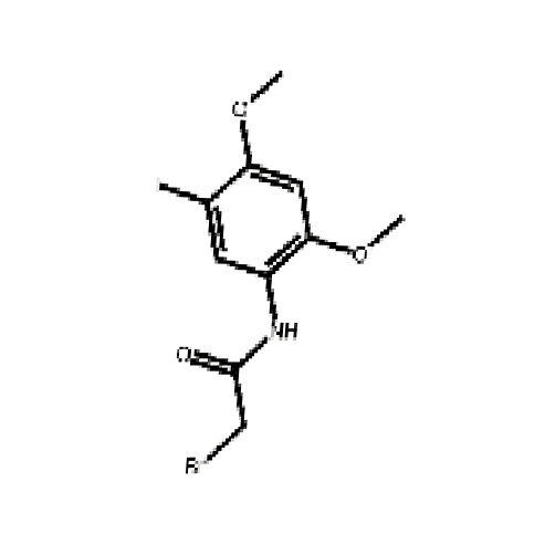 COc1cc(OC)c(NC(=O)CBr)cc1I